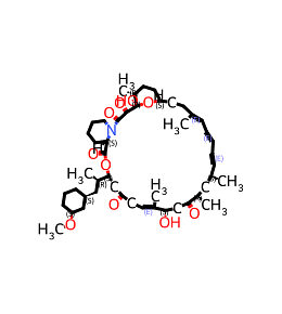 CO[C@H]1CCC[C@@H](C[C@@H](C)[C@@H]2CC(=O)C/C=C(\C)[C@@H](O)CC(=O)[C@H](C)C[C@H](C)/C=C/C=C/C=C(\C)CC[C@@H]3CC[C@@H](C)[C@@](O)(O3)C(=O)C(=O)N3CCCC[C@H]3C(=O)O2)C1